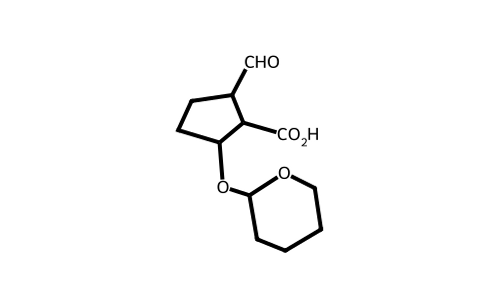 O=CC1CCC(OC2CCCCO2)C1C(=O)O